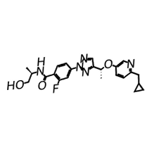 C[C@H](CO)NC(=O)c1ccc(-n2ncc([C@@H](C)Oc3ccc(CC4CC4)nc3)n2)cc1F